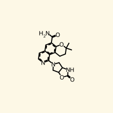 CC1(C)CCc2c(c(C(N)=O)cc3ccnc(N4CC5NC(=O)OC5C4)c23)O1